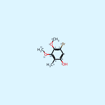 COc1c(Br)cc(O)c(C)c1OC